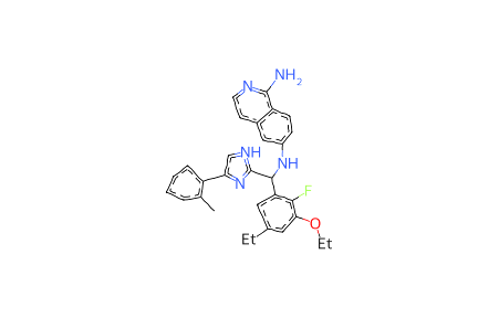 CCOc1cc(CC)cc(C(Nc2ccc3c(N)nccc3c2)c2nc(-c3ccccc3C)c[nH]2)c1F